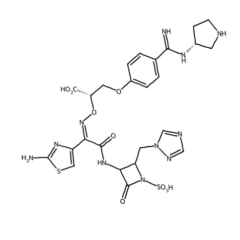 N=C(N[C@@H]1CCNC1)c1ccc(OC[C@H](O/N=C(\C(=O)NC2C(=O)N(S(=O)(=O)O)C2Cn2cncn2)c2csc(N)n2)C(=O)O)cc1